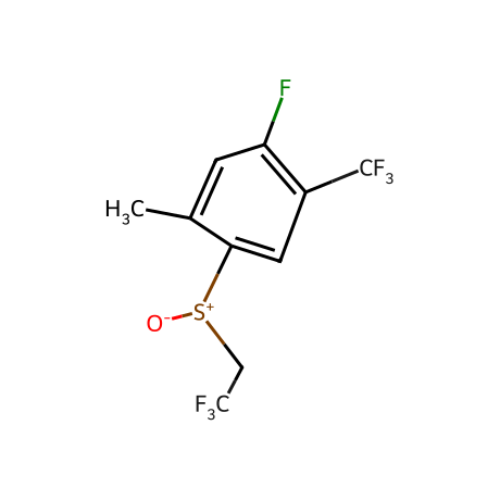 Cc1cc(F)c(C(F)(F)F)cc1[S+]([O-])CC(F)(F)F